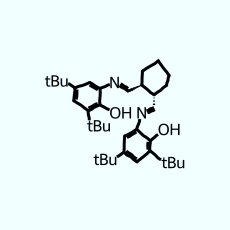 CC(C)(C)c1cc(/N=C/[C@H]2CCCC[C@@H]2/C=N/c2cc(C(C)(C)C)cc(C(C)(C)C)c2O)c(O)c(C(C)(C)C)c1